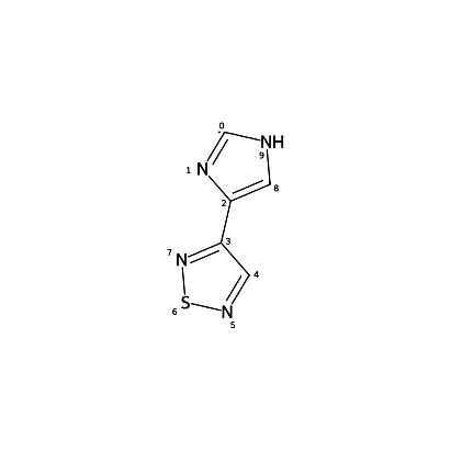 [c]1nc(-c2cnsn2)c[nH]1